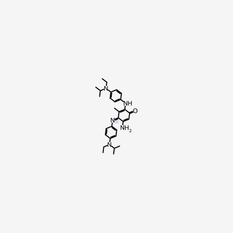 CCN(c1ccc(/N=C2\C(N)=CC(=O)C(Nc3ccc(N(CC)C(C)C)cc3)=C2C)cc1)C(C)C